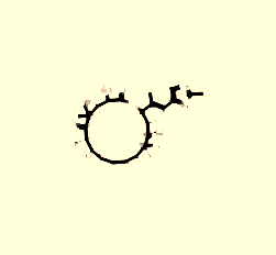 CCCC1C(=O)OC(/C(C)=C/c2csc(C)n2)C[C@@H]2O[C@]2(C)CCC[C@H](C)[C@H](O)[C@@H](C)C(=O)C(C)(C)[C@H]1O